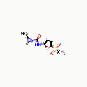 CS(=O)(=O)c1ccc(NC(=O)N2CC2C#N)o1